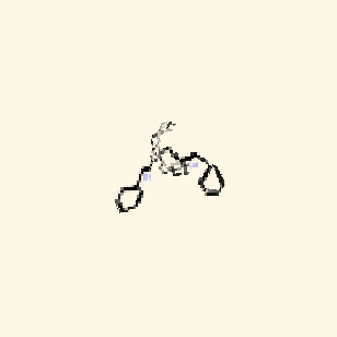 CCO[Si](C/C=C/c1ccccc1)(C/C=C/c1ccccc1)OCC